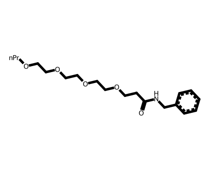 CCCOCCOCCOCCOCCC(=O)NCc1ccccc1